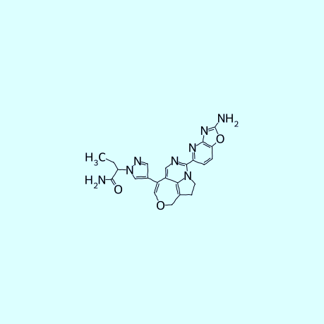 CCC(C(N)=O)n1cc(C2=COCC3=C4C2=CN=C(c2ccc5oc(N)nc5n2)N4CC3)cn1